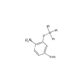 CC(C)[Si](Oc1cc(C=O)ccc1[N+](=O)[O-])(C(C)C)C(C)C